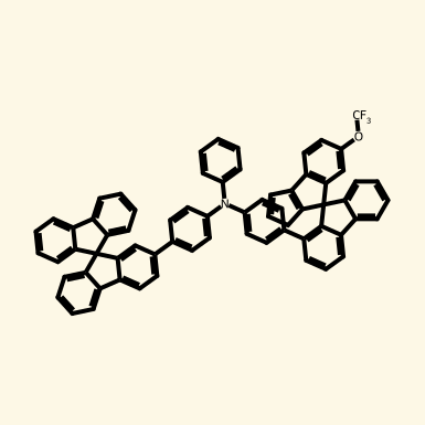 FC(F)(F)Oc1ccc2c(c1)C1(C3=C2C=CC3)c2ccccc2-c2cccc(-c3ccc(N(c4ccccc4)c4ccc(-c5ccc6c(c5)C5(c7ccccc7-c7ccccc75)c5ccccc5-6)cc4)cc3)c21